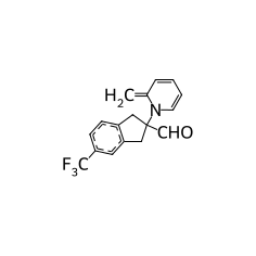 C=C1C=CC=CN1C1(C=O)Cc2ccc(C(F)(F)F)cc2C1